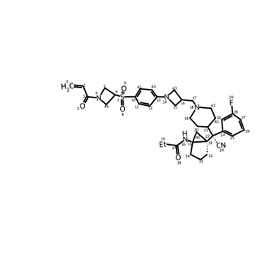 C=CC(=O)N1CC(S(=O)(=O)c2ccc(N3CC(CN4CCC([C@@](C#N)(c5cccc(F)c5)[C@@]56CCC[C@]5(NC(=O)CC)C6)CC4)C3)cc2)C1